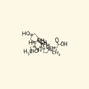 CC[C@H]1[C@@H](O)[C@@H]2[C@](C)(CC[C@]3(C)[C@@H]([C@H](C)CCC(=O)O)CC[C@@]23C)[C@@]2(C)CC[C@@H](O)C[C@@H]12